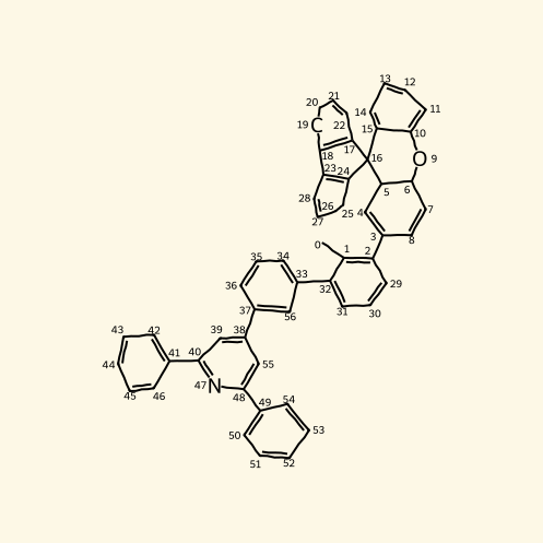 Cc1c(C2=CC3C(C=C2)Oc2ccccc2C32C3=C(CCC=C3)C3=C2CCC=C3)cccc1-c1cccc(-c2cc(-c3ccccc3)nc(-c3ccccc3)c2)c1